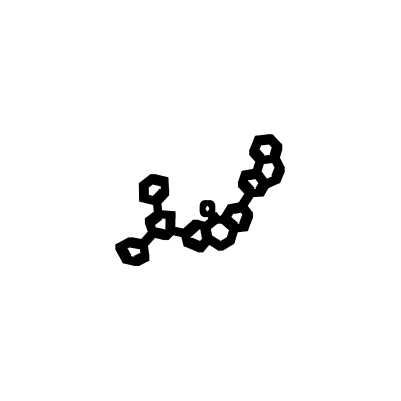 O=C1c2cc(-c3cc(-c4ccccc4)cc(-c4ccccc4)c3)ccc2CCc2ccc(-c3ccc4c(ccc5ccccc54)c3)cc21